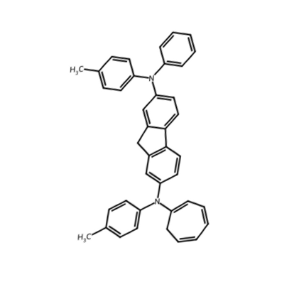 Cc1ccc(N(C2=CC=CC=CC2)c2ccc3c(c2)Cc2cc(N(c4ccccc4)c4ccc(C)cc4)ccc2-3)cc1